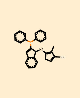 CCCCC1=CC[C]([Hf][CH]2C(P(c3ccccc3)c3ccccc3)=Cc3ccccc32)=C1C